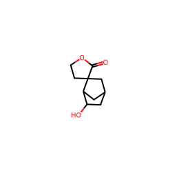 O=C1OCCC12CC1CC(O)C2C1